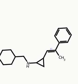 C/C(=C\C1CC1NCC1CCNCC1)c1ccccc1